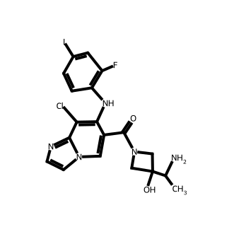 CC(N)C1(O)CN(C(=O)c2cn3ccnc3c(Cl)c2Nc2ccc(I)cc2F)C1